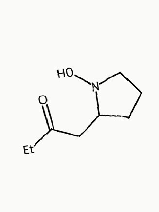 CCC(=O)CC1CCCN1O